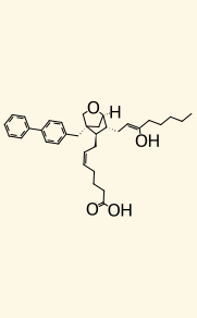 CCCCCC(O)=CC[C@@H]1[C@@H](C/C=C\CCCC(=O)O)[C@@]2(Cc3ccc(-c4ccccc4)cc3)CO[C@@H]1C2